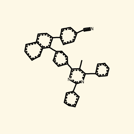 Cc1c(-c2ccccc2)nc(-c2ccccc2)nc1-c1ccc(-c2c(-c3ccc(C#N)cc3)ccc3ccccc23)cc1